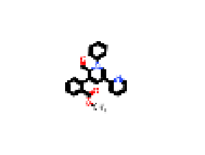 COC(=O)c1ccccc1C1=CC(c2ccccn2)=CN(c2ccccc2)C1C=O